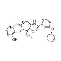 CN1C(=O)C(NC(=O)c2cc(OC3=CCCC=C3)ccn2)COc2cc3ncnc(O)c3cc21